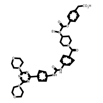 CCN(C(=O)Oc1ccc(CC(=O)O)cc1)C1CCN(C(=O)c2ccc(NC(=O)Nc3ccc(-c4nc(N5CCOCC5)nc(N5CCOCC5)n4)cc3)cc2)CC1